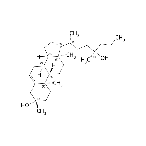 CCC[C@@](C)(O)CC[C@@H](C)[C@H]1CC[C@H]2[C@@H]3CC=C4C[C@@](C)(O)CC[C@]4(C)[C@H]3CC[C@]12C